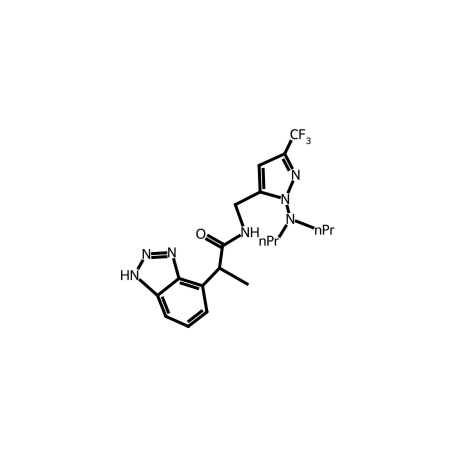 CCCN(CCC)n1nc(C(F)(F)F)cc1CNC(=O)C(C)c1cccc2[nH]nnc12